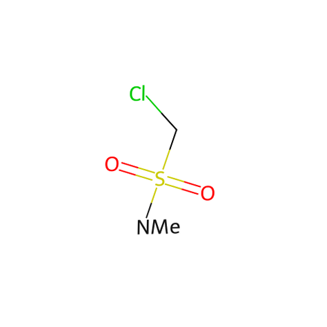 [CH2]NS(=O)(=O)CCl